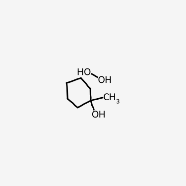 CC1(O)CCCCC1.OO